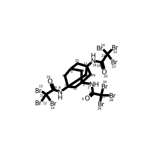 O=C(NC12CC3CC(NC(=O)C(Br)(Br)Br)(C1)CC(NC(=O)C(Br)(Br)Br)(C3)C2)C(Br)(Br)Br